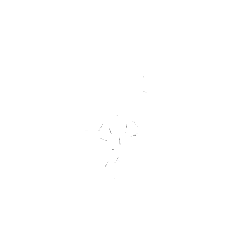 C=C(/C(F)=C\C=C/C)c1oc2ncnc(O[C@H](C)CCCCC(=O)OC(C)(C)C)c2c1-c1ccc(OC)cc1